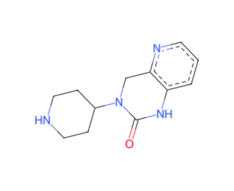 O=C1Nc2cccnc2CN1C1CCNCC1